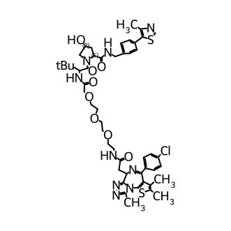 Cc1ncsc1-c1ccc(CNC(=O)[C@@H]2C[C@@H](O)CN2C(=O)C(NC(=O)COCCOCCOCCNC(=O)CC2N=C(c3ccc(Cl)cc3)c3c(sc(C)c3C)-n3c(C)nnc32)C(C)(C)C)cc1